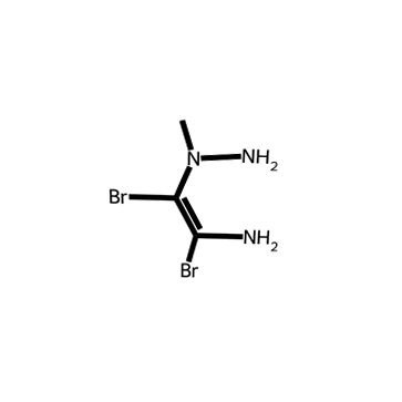 CN(N)/C(Br)=C(\N)Br